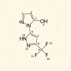 Oc1ccnn1-c1cc(C(F)(F)F)n[nH]1